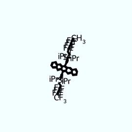 CC(C)[Si](C#Cc1c2cc3ccccc3cc2c(C#C[Si](CCC(F)(F)C(F)(F)C(F)(F)C(F)(F)F)(C(C)C)C(C)C)c2cc3ccccc3cc12)(CCC(F)(F)C(F)(F)C(F)(F)C(C)(F)F)C(C)C